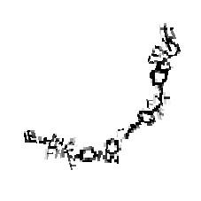 CC(C)(C)c1cc(NC(=O)Nc2ccc(-n3cnc4cc(OCC#Cc5ccc(C(F)(F)CNCc6ccc7c(c6)CN(C6CCC(=O)NC6=O)C7=O)cc5)ccc43)cc2)[nH]n1